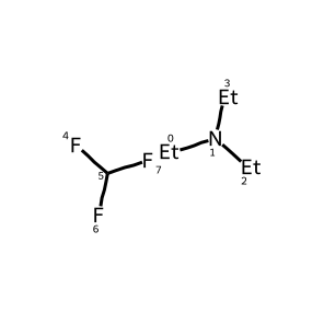 CCN(CC)CC.FC(F)F